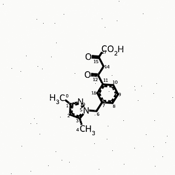 Cc1cc(C)n(Cc2cccc(C(=O)CC(=O)C(=O)O)c2)n1